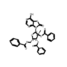 C[C@@]1(OC(=O)c2ccccc2)[C@H](OC(=O)c2ccccc2)[C@@H](COC(=O)c2ccccc2)O[C@H]1n1c(=O)sc2c(O)ncnc21